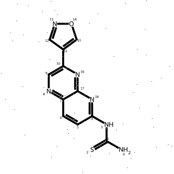 NC(=S)Nc1ccc2ncc(-c3cnoc3)nc2n1